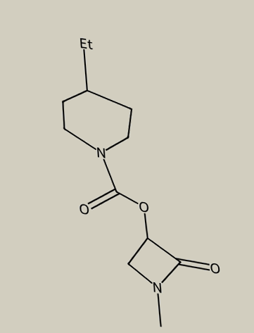 CCC1CCN(C(=O)OC2CN(C)C2=O)CC1